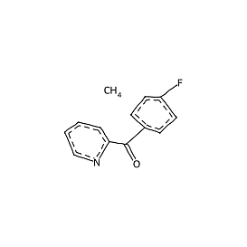 C.O=C(c1ccc(F)cc1)c1ccccn1